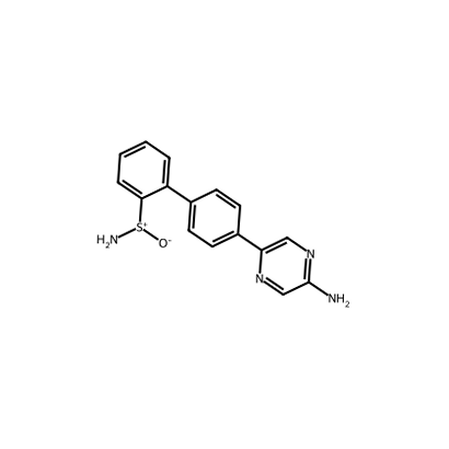 Nc1cnc(-c2ccc(-c3ccccc3[S+](N)[O-])cc2)cn1